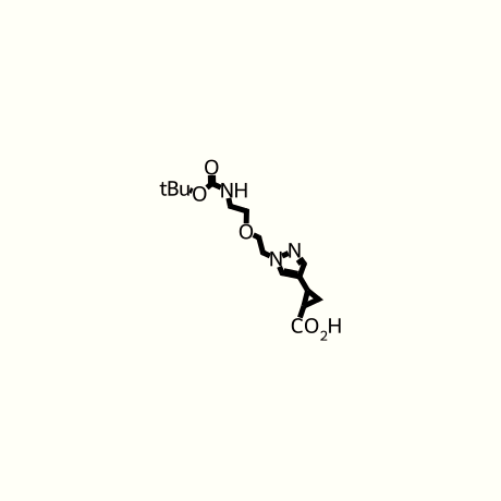 CC(C)(C)OC(=O)NCCOCCn1cc(C2CC2C(=O)O)cn1